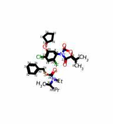 CC(C)=C1OC(=O)N(c2cc(OC3CCCC3)c(Cl)cc2F)C1=O.CCN(C(=O)SCc1ccccc1)C(C)C(C)C